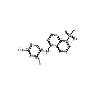 CS(=O)(=O)c1cccc2c(Nc3ccc(O)cc3F)ccnc12